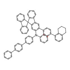 c1ccc(-c2ccc(-c3ccc(N(c4ccccc4)c4cc5c(cc4-c4ccc(-c6cccc7c6CCCC7)cc4)-c4ccccc4C54c5ccccc5-c5ccccc54)cc3)cc2)cc1